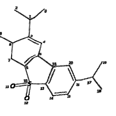 CC(C)C1=CC2=C(CC1C)S(=O)(=O)c1ccc(C(C)C)cc12